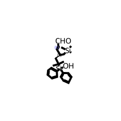 CC(C)(C[C@@H](/C=C/C=O)C[Si](C)(C)C)[Si](O)(c1ccccc1)c1ccccc1